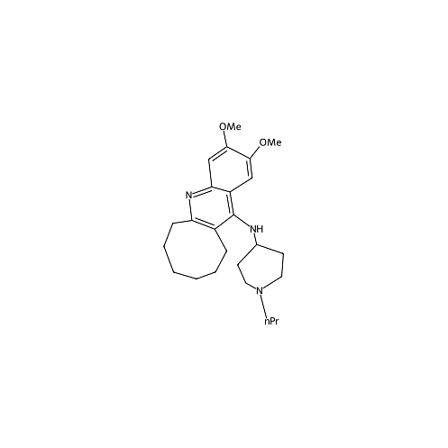 CCCN1CCC(Nc2c3c(nc4cc(OC)c(OC)cc24)CCCCCC3)CC1